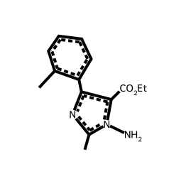 CCOC(=O)c1c(-c2ccccc2C)nc(C)n1N